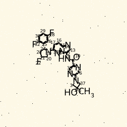 CC1(O)CN(c2cnc(C(=O)Nc3cnc4ccc(N5C[C@@H](F)C[C@@H]5c5cc(F)ccc5F)nn34)cn2)C1